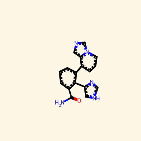 NC(=O)c1cccc(-c2cccn3cncc23)c1-c1c[nH]cn1